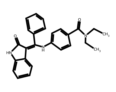 CCN(CC)C(=O)c1ccc(NC(=C2C(=O)Nc3ccccc32)c2ccccc2)cc1